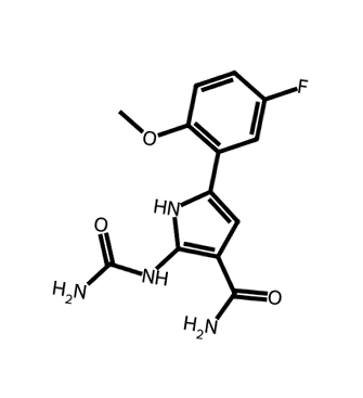 COc1ccc(F)cc1-c1cc(C(N)=O)c(NC(N)=O)[nH]1